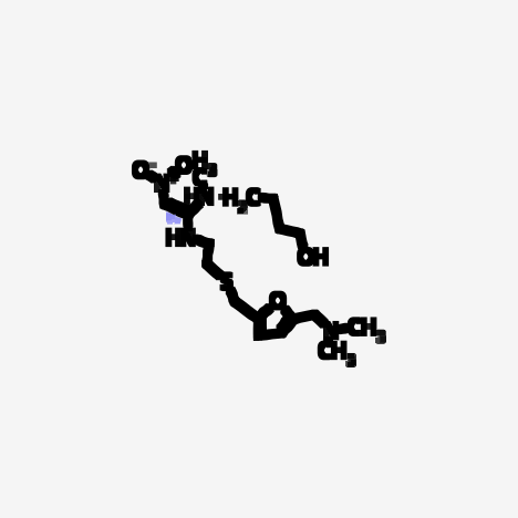 CN/C(=C\[N+](=O)[O-])NCCSCc1ccc(CN(C)C)o1.[CH2]CCCO